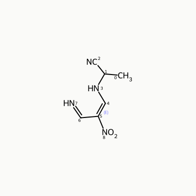 CC(C#N)N/C=C(\C=N)[N+](=O)[O-]